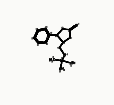 CCCC[Si](C)(C)OCC1CC(=O)CC1c1ccccc1